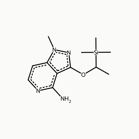 CC(Oc1nn(C)c2ccnc(N)c12)[Si](C)(C)C